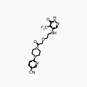 N#Cc1ccc(N2CCN(C(=O)COCCNc3cn[nH]c(=O)c3C(F)(F)F)CC2)nc1